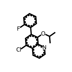 CC(C)Oc1c(-c2ccccc2F)cc(Cl)c2cccnc12